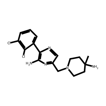 CC1(N)CCN(Cc2cnc(-c3cccc(Cl)c3Cl)c(N)n2)CC1